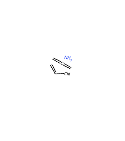 C=C=C.C=CC#N.N